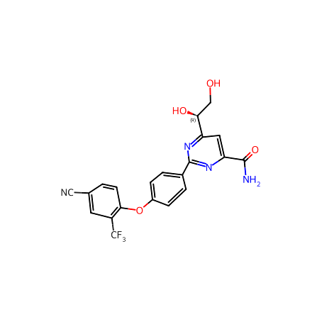 N#Cc1ccc(Oc2ccc(-c3nc(C(N)=O)cc([C@@H](O)CO)n3)cc2)c(C(F)(F)F)c1